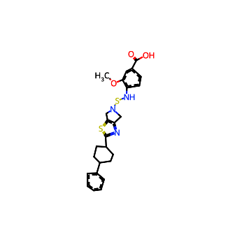 COc1cc(C(=O)O)ccc1NSN1Cc2nc(C3CCC(c4ccccc4)CC3)sc2C1